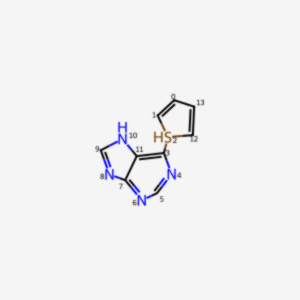 C1=C[SH](c2ncnc3nc[nH]c23)C=C1